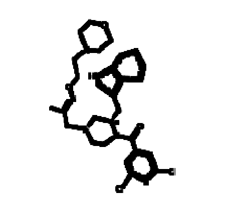 CC(CN1CCN(C(=O)c2cc(Cl)nc(Cl)c2)[C@H](Cc2c[nH]c3ccccc23)C1)=NOCCN1CCOCC1